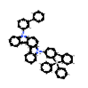 c1ccc(-c2cccc(-n3c4ccccc4c4c5c6ccccc6n(-c6ccc7c(c6)[Si](c6ccccc6)(c6ccccc6)c6ccccc6-7)c5ccc43)c2)cc1